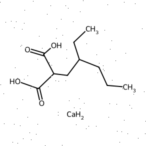 CCCC(CC)CC(C(=O)O)C(=O)O.[CaH2]